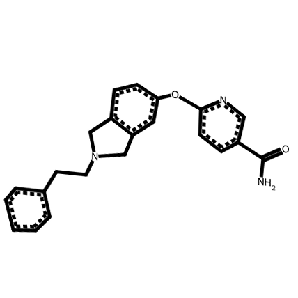 NC(=O)c1ccc(Oc2ccc3c(c2)CN(CCc2ccccc2)C3)nc1